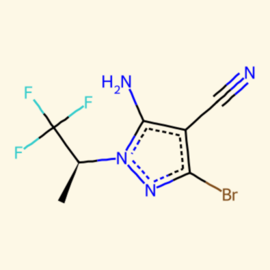 C[C@H](n1nc(Br)c(C#N)c1N)C(F)(F)F